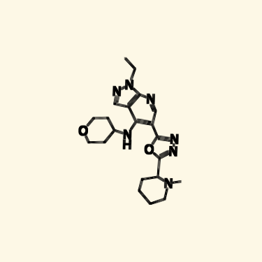 CCn1ncc2c(NC3CCOCC3)c(-c3nnc(C4CCCCN4C)o3)cnc21